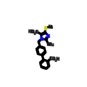 CCCCc1nc(SCC)c(C(=O)O)n1Cc1ccc(-c2ccccc2C(=O)O)cc1